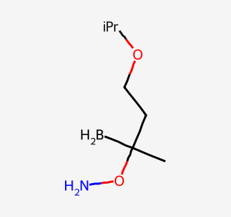 BC(C)(CCOC(C)C)ON